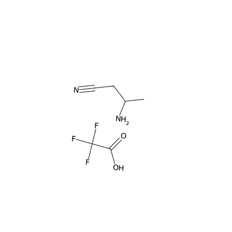 CC(N)CC#N.O=C(O)C(F)(F)F